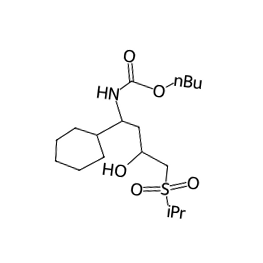 CCCCOC(=O)NC(CC(O)CS(=O)(=O)C(C)C)C1CCCCC1